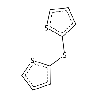 c1csc(Sc2cccs2)c1